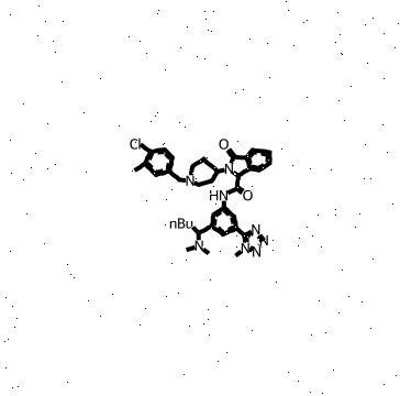 CCCCC(c1cc(NC(=O)C2c3ccccc3C(=O)N2C2CCN(Cc3ccc(Cl)c(C)c3)CC2)cc(-c2nnnn2C)c1)N(C)C